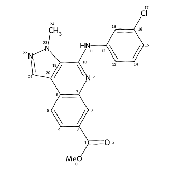 COC(=O)c1ccc2c(c1)nc(Nc1cccc(Cl)c1)c1c2cnn1C